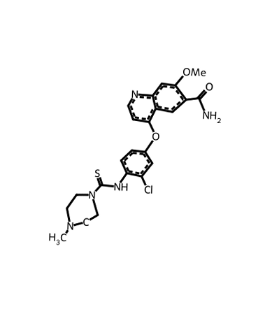 COc1cc2nccc(Oc3ccc(NC(=S)N4CCN(C)CC4)c(Cl)c3)c2cc1C(N)=O